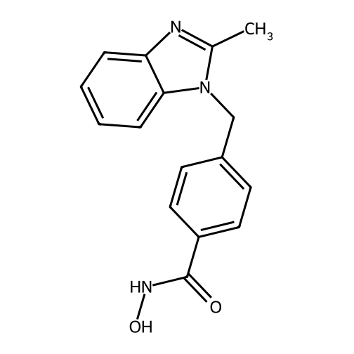 Cc1nc2ccccc2n1Cc1ccc(C(=O)NO)cc1